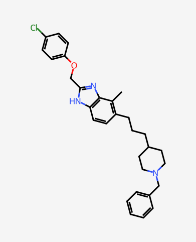 Cc1c(CCCC2CCN(Cc3ccccc3)CC2)ccc2[nH]c(COc3ccc(Cl)cc3)nc12